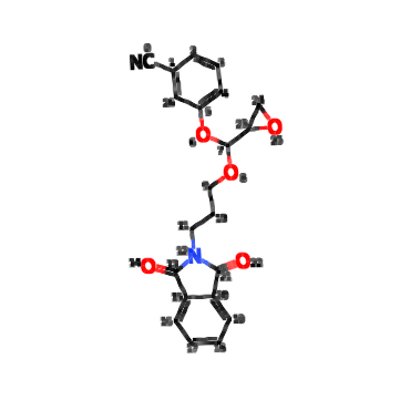 N#Cc1cccc(OC(OCCCN2C(=O)c3ccccc3C2=O)C2CO2)c1